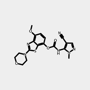 COc1ccc(OC(=O)Nc2c(C#N)cnn2C)c2sc(N3CCOCC3)nc12